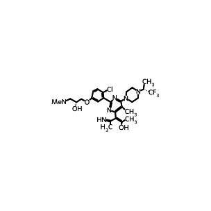 CNC[C@@H](O)COc1ccc(Cl)c(-c2nc(/C(C(C)=N)=C(\C)O)c(C)c(N3CCN([C@H](C)C(F)(F)F)CC3)n2)c1